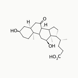 C[C@H](CCC(=O)O)[C@H]1CCC2[C@@H]3C(=O)C[C@@H]4C[C@H](O)CC[C@]4(C)C3C[C@H](O)[C@@]21C